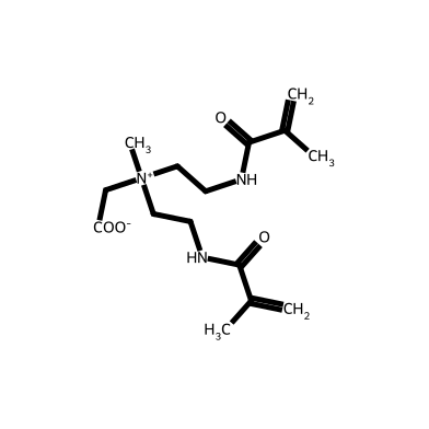 C=C(C)C(=O)NCC[N+](C)(CCNC(=O)C(=C)C)CC(=O)[O-]